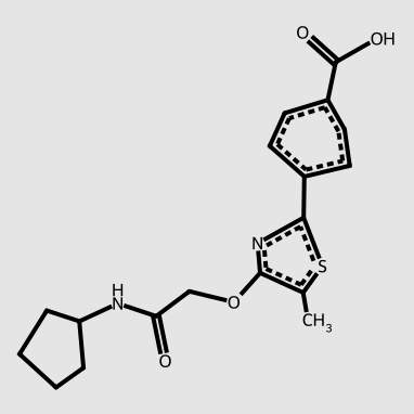 Cc1sc(-c2ccc(C(=O)O)cc2)nc1OCC(=O)NC1CCCC1